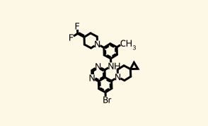 Cc1cc(Nc2ncnc3cc(Br)cc(N4CCC5(CC4)CC5)c23)cc(N2CCC(=C(F)F)CC2)c1